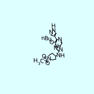 CCCCOc1c(-c2cn[nH]c2)ncc2nc(NC3CCN(S(C)(=O)=O)CC3)nn12